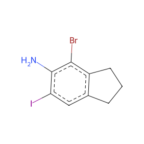 Nc1c(I)cc2c(c1Br)CCC2